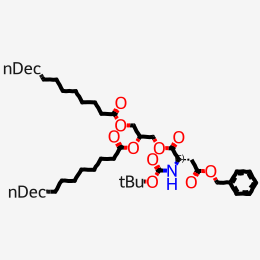 CCCCCCCCCCCCCCCCCC(=O)OCC(COC(=O)[C@H](CC(=O)OCc1ccccc1)NC(=O)OC(C)(C)C)OC(=O)CCCCCCCCCCCCCCCCC